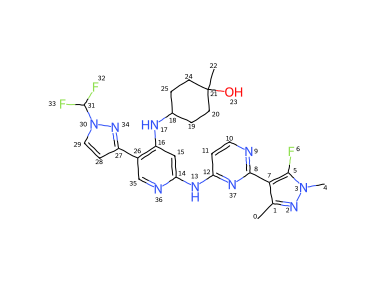 Cc1nn(C)c(F)c1-c1nccc(Nc2cc(NC3CCC(C)(O)CC3)c(-c3ccn(C(F)F)n3)cn2)n1